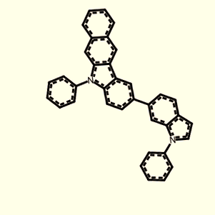 c1ccc(-n2ccc3ccc(-c4ccc5c(c4)c4cc6ccccc6cc4n5-c4ccccc4)cc32)cc1